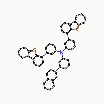 c1cc(-c2ccc3ccccc3c2)cc(N(c2cccc(-c3cccc4c3sc3ccccc34)c2)c2cccc(-c3cccc4c3sc3ccccc34)c2)c1